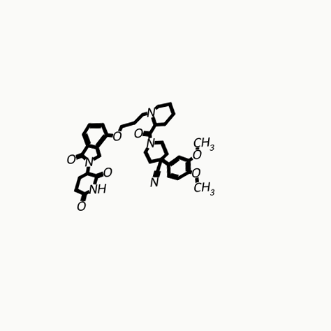 COc1ccc(C2(C#N)CCN(C(=O)C3CCCCN3CCCOc3cccc4c3CN(C3CCC(=O)NC3=O)C4=O)CC2)cc1OC